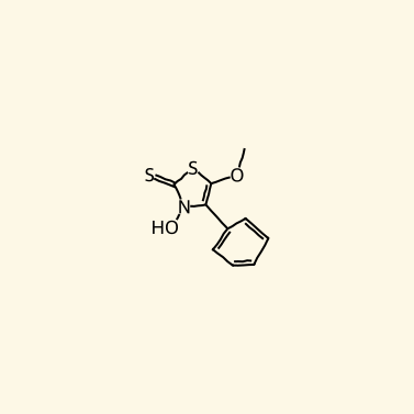 COc1sc(=S)n(O)c1-c1ccccc1